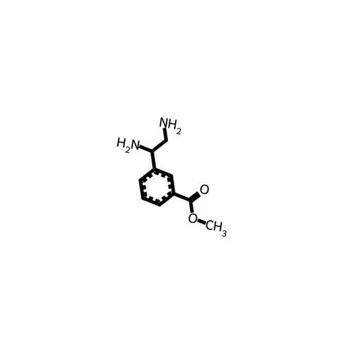 COC(=O)c1cccc(C(N)CN)c1